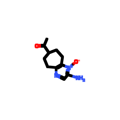 CC(=O)C1CCc2ncc(N)[n+]([O-])c2CC1